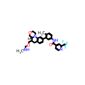 CNCOCC1Cc2ccc(-c3cc(NC(=O)c4ccnc(C(F)(F)F)c4)ccc3C)cc2N2CCOC[C@@H]12